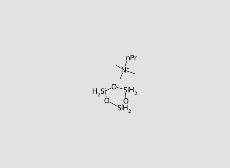 CCC[N+](C)(C)C.O1[SiH2]O[SiH2]O[SiH2]1